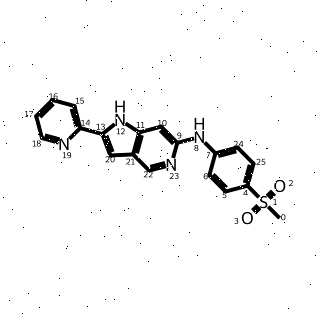 CS(=O)(=O)c1ccc(Nc2cc3[nH]c(-c4ccccn4)cc3cn2)cc1